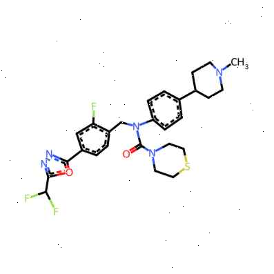 CN1CCC(c2ccc(N(Cc3ccc(-c4nnc(C(F)F)o4)cc3F)C(=O)N3CCSCC3)cc2)CC1